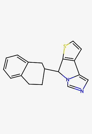 c1ccc2c(c1)CCC(C1c3sccc3-c3cncn31)C2